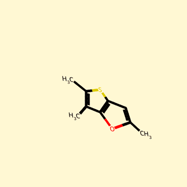 Cc1cc2sc(C)c(C)c2o1